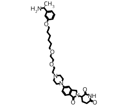 C[C@@H](N)c1cccc(OCCCCCCOCCOCCN2CCN(c3ccc4c(c3)CN(C3CCC(=O)NC3=O)C4=O)CC2)c1